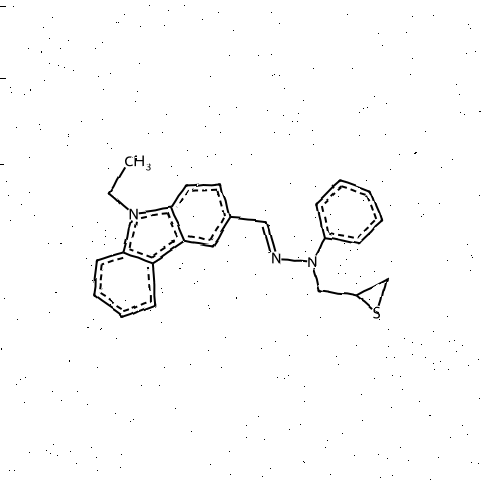 CCn1c2ccccc2c2cc(C=NN(CC3CS3)c3ccccc3)ccc21